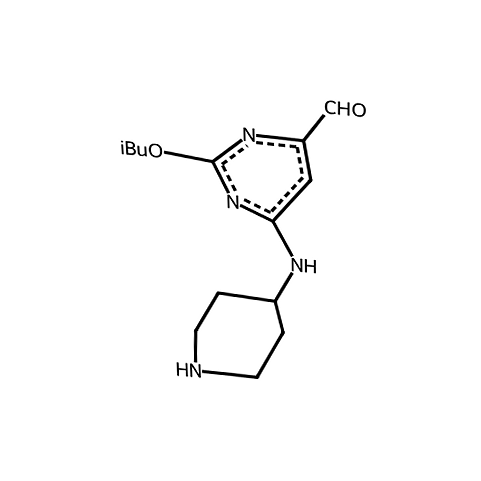 CC(C)COc1nc(C=O)cc(NC2CCNCC2)n1